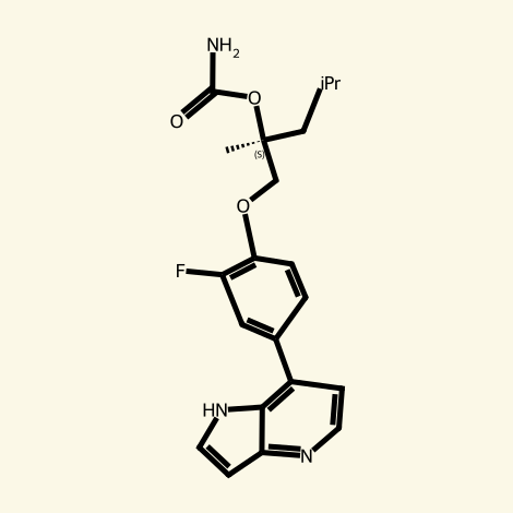 CC(C)C[C@@](C)(COc1ccc(-c2ccnc3cc[nH]c23)cc1F)OC(N)=O